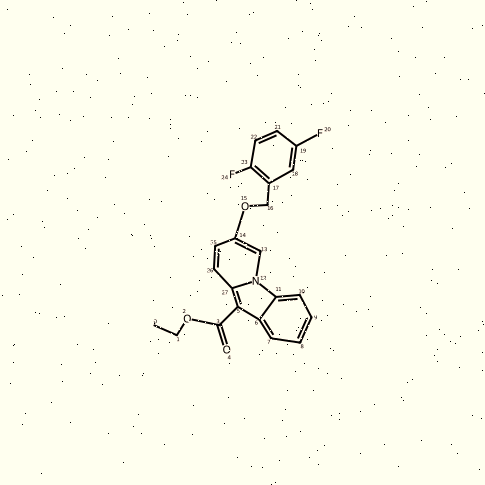 CCOC(=O)c1c2ccccc2n2cc(OCc3cc(F)ccc3F)ccc12